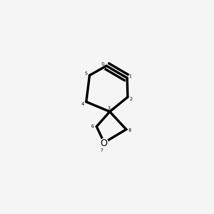 C1#CCC2(CC1)COC2